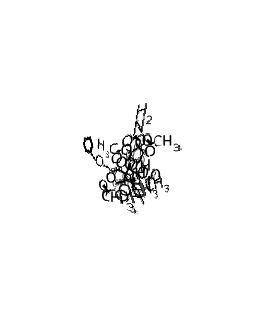 CC(=O)OC[C@H]1O[C@H](O[C@@H]2[C@H](CCOCc3ccccc3)O[C@@H](C(O)C(C)=O)[C@](O)(C(C)=O)[C@@]2(O)C(C)=O)[C@@H](OC(C)=O)[C@@H](OC(N)=O)[C@@H]1OC(C)=O